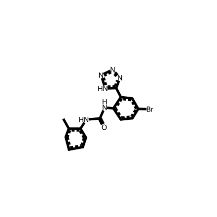 Cc1ccccc1NC(=O)Nc1ccc(Br)cc1-c1nnn[nH]1